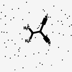 CC(C)C(C#N)C#N